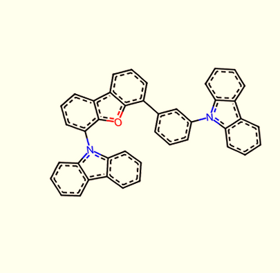 c1cc(-c2cccc3c2oc2c(-n4c5ccccc5c5ccccc54)cccc23)cc(-n2c3ccccc3c3ccccc32)c1